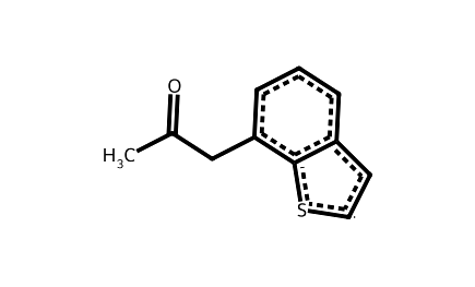 CC(=O)Cc1cccc2c[c]sc12